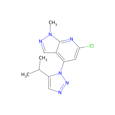 CC(C)c1cnnn1-c1cc(Cl)nc2c1cnn2C